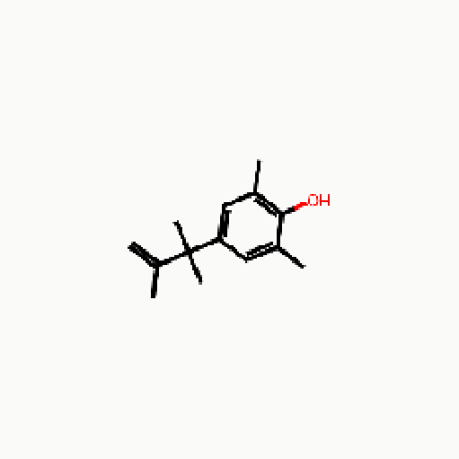 C=C(C)C(C)(C)c1cc(C)c(O)c(C)c1